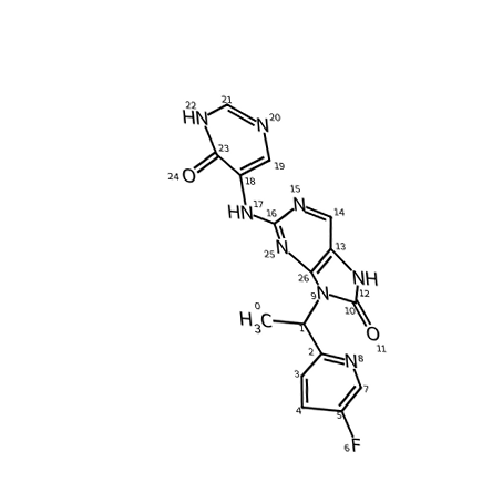 CC(c1ccc(F)cn1)n1c(=O)[nH]c2cnc(Nc3cnc[nH]c3=O)nc21